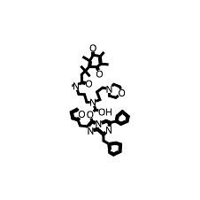 CC1=C(C)C(=O)C(C(C)(C)CC(=O)N(C)CCCN(CCCN2CCOCC2)C(O)Oc2c(Cc3ccco3)nc3c(Cc4ccccc4)nc(-c4ccccc4)cn23)=C(C)C1=O